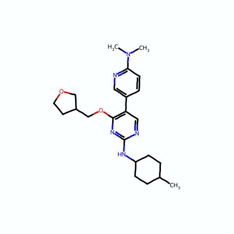 CC1CCC(Nc2ncc(-c3ccc(N(C)C)nc3)c(OCC3CCOC3)n2)CC1